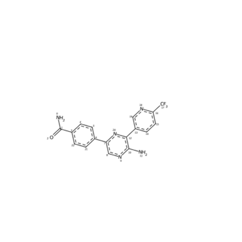 NC(=O)c1ccc(-c2cnc(N)c(-c3ccc(C(F)(F)F)nc3)n2)cc1